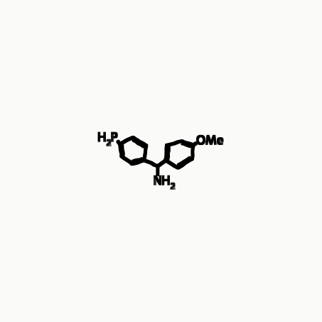 COc1ccc(C(N)c2ccc(P)cc2)cc1